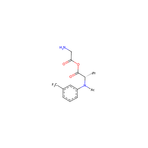 CC(=O)N(c1cccc(C(F)(F)F)c1)[C@H](C(=O)OC(=O)CN)C(C)C